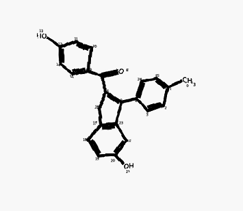 Cc1ccc(C2=C(C(=O)c3ccc(O)cc3)Cc3ccc(O)cc32)cc1